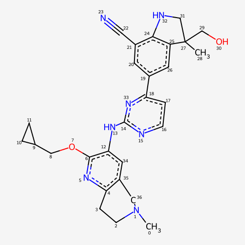 CN1CCc2nc(OCC3CC3)c(Nc3nccc(-c4cc(C#N)c5c(c4)C(C)(CO)CN5)n3)cc2C1